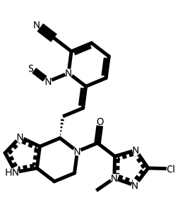 Cn1nc(Cl)nc1C(=O)N1CCc2[nH]cnc2[C@@H]1C/C=C1/C=CC=C(C#N)N1N=S